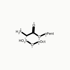 CCCCCCCCOS(=O)(=O)O.CCCCCOC(=O)CP